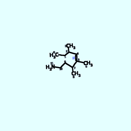 CCC(C)/C=C(/C)C(C)CCN